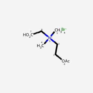 CC(=O)OCC[N+](C)(C)CC(=O)O.[Br-]